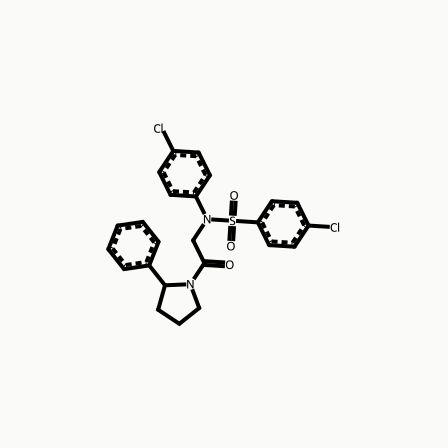 O=C(CN(c1ccc(Cl)cc1)S(=O)(=O)c1ccc(Cl)cc1)N1CCCC1c1ccccc1